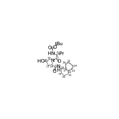 CC(C)C(NC(=O)OC(C)(C)C)C(=O)N1CC(O)CC1C(=O)NC1CCCc2ccccc21